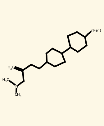 C=C(CCC1CCC(C2CCC(CCCCC)CC2)CC1)CN(C)C